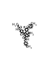 CC=CC(=O)Nc1ccc(-c2sc3c(C(=O)NCC4CCN(C)CC4)cnc(N)c3c2-c2ccc(Oc3nccc(C)n3)c(F)c2)c(C)c1